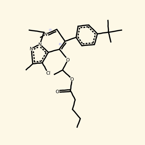 CCCCC(=O)OC(C)O/C(=C(/C=N\C)c1ccc(C(C)(C)C)cc1)c1c(Cl)c(C)nn1CC